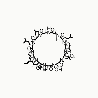 C/C=C/C[C@@H](C)[C@@H](O)C1C(=O)N[C@@H](CC)C(=O)N(C)[C@H](CO)C(=O)N(C)[C@@H](CC(C)(C)OC)C(=O)N[C@H](C(C)C)C(=O)N(C)[C@H](CCC(C)C)C(=O)N[C@H](C)C(=O)N[C@@H](C)C(=O)N(C)[C@@H](CC(C)C)C(=O)N(C)[C@H](CCC(C)C)C(=O)N(C)[C@@H](C(C)C)C(=O)N1C